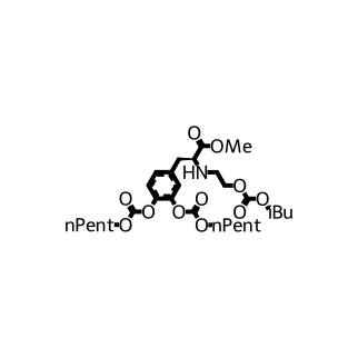 CCCCCOC(=O)Oc1ccc(C[C@H](NCCOC(=O)OC(C)CC)C(=O)OC)cc1OC(=O)OCCCCC